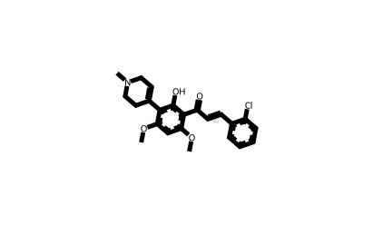 COc1cc(OC)c(C2=CCN(C)CC2)c(O)c1C(=O)/C=C/c1ccccc1Cl